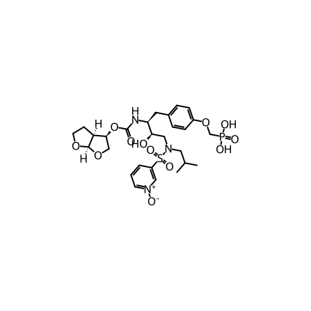 CC(C)CN(C[C@@H](O)[C@H](Cc1ccc(OCP(=O)(O)O)cc1)NC(=O)O[C@H]1CO[C@H]2OCC[C@H]21)S(=O)(=O)c1ccc[n+]([O-])c1